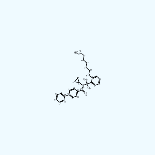 [2H]C([2H])(c1ccccc1OCCCCCC(=O)O)N(C(=O)c1ccc(-c2cccnc2)cc1)C1CC1